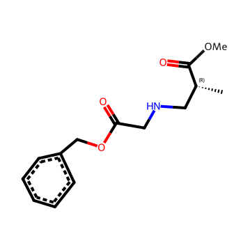 COC(=O)[C@H](C)CNCC(=O)OCc1ccccc1